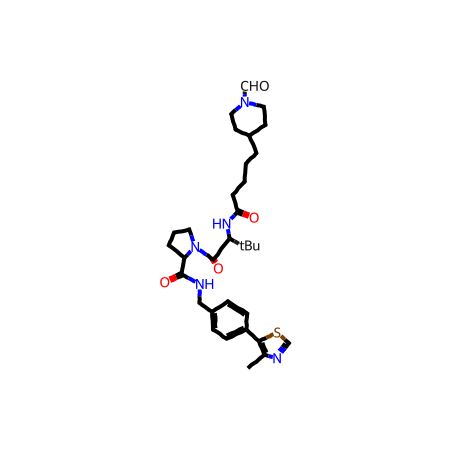 Cc1ncsc1-c1ccc(CNC(=O)C2CCCN2C(=O)C(NC(=O)CCCCC2CCN(C=O)CC2)C(C)(C)C)cc1